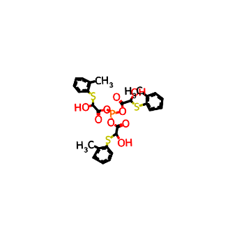 Cc1ccccc1SC(O)C(=O)OP(OC(=O)C(O)Sc1ccccc1C)OC(=O)C(O)Sc1ccccc1C